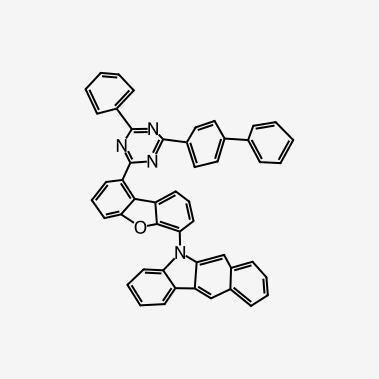 c1ccc(-c2ccc(-c3nc(-c4ccccc4)nc(-c4cccc5oc6c(-n7c8ccccc8c8cc9ccccc9cc87)cccc6c45)n3)cc2)cc1